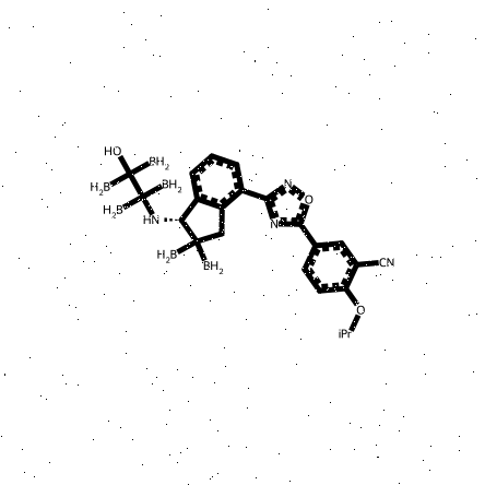 BC1(B)Cc2c(-c3noc(-c4ccc(OC(C)C)c(C#N)c4)n3)cccc2[C@H]1NC(B)(B)C(B)(B)O